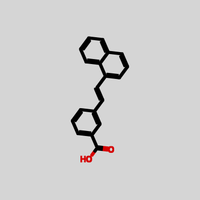 O=C(O)c1cccc(C=Cc2cccc3ccccc23)c1